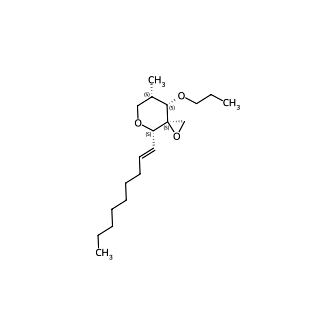 CCCCCCCC=C[C@@H]1OC[C@H](C)[C@H](OCCC)[C@]12CO2